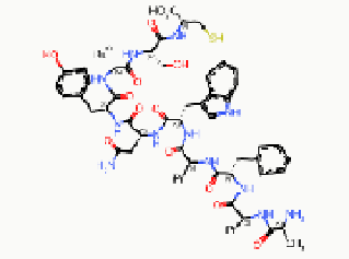 CC[C@H](C)[C@H](NC(=O)[C@H](Cc1ccc(O)cc1)NC(=O)[C@H](CC(N)=O)NC(=O)[C@H](Cc1c[nH]c2ccccc12)NC(=O)[C@@H](NC(=O)[C@H](Cc1ccccc1)NC(=O)[C@@H](NC(=O)[C@H](C)N)C(C)C)C(C)C)C(=O)N[C@@H](CO)C(=O)N[C@@H](CS)C(=O)O